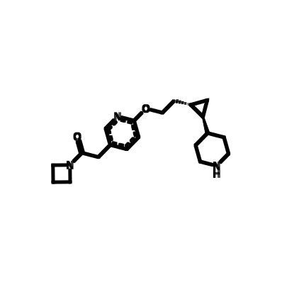 O=C(Cc1ccc(OCC[C@@H]2C[C@H]2C2CCNCC2)nc1)N1CCC1